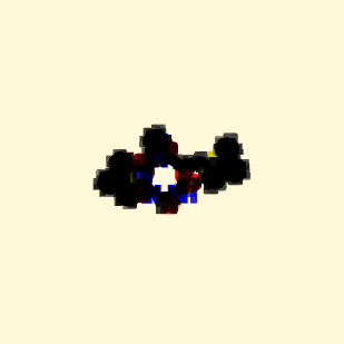 CC(C)[C@H]1NC(=O)[C@@H](CSC(c2ccccc2)(c2ccccc2)c2ccccc2)NC(=O)[C@@H](Cc2ccccc2)NC(=O)C[C@@H](C=CCCSC(c2ccccc2)(c2ccccc2)c2ccccc2)OC(=O)CNC1=O